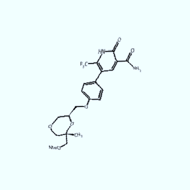 COC[C@]1(C)COC[C@@H](COc2ccc(-c3cc(C(N)=O)c(=O)[nH]c3C(F)(F)F)cc2)O1